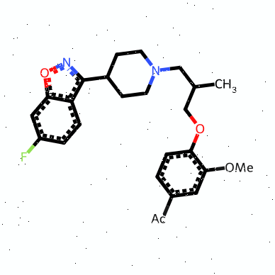 COc1cc(C(C)=O)ccc1OCC(C)CN1CCC(c2noc3cc(F)ccc23)CC1